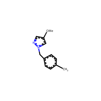 COc1cnn(Cc2ccc(C)cc2)c1